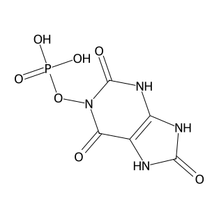 O=c1[nH]c2[nH]c(=O)n(OP(=O)(O)O)c(=O)c2[nH]1